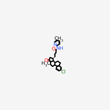 Cc1ccc(NC(=O)CCC[C@@H]2CC(=O)[C@@]3(C)CCC4c5ccc(Cl)cc5CCC4C23)nc1